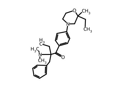 CCC1(C)CN(c2ccc(C(=O)C(CC)(Cc3ccccc3)N(C)C)cc2)CCO1